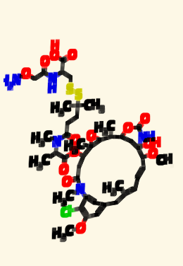 COc1cc2cc(c1Cl)N(C)C(=O)CC(OC(=O)C(C)N(C)C(=O)CCC(C)(C)SSCC(NC(=O)CON)C(=O)O)C1(C)OC1C(C)C1CC(O)(NC(=O)O1)C(OC)/C=C/C=C(\C)C2